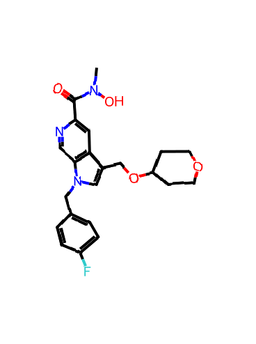 CN(O)C(=O)c1cc2c(COC3CCOCC3)cn(Cc3ccc(F)cc3)c2cn1